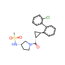 CS(=O)(=O)N[C@H]1CCN(C(=O)[C@@H]2C[C@H]2c2ccccc2-c2ccccc2Cl)C1